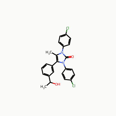 Cc1c(-c2cccc(C(C)O)c2)n(-c2ccc(Cl)cc2)c(=O)n1-c1ccc(Cl)cc1